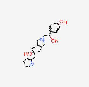 Oc1ccc(C(O)CN2CC3CC(O)(Cc4ccccn4)CC3C2)cc1